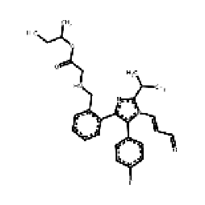 CCC(C)OC(=O)CNCc1ccccc1-c1nc(C(C)C)n(C=CC=O)c1-c1ccc(F)cc1